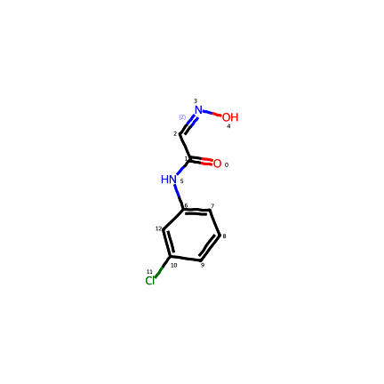 O=C(/C=N\O)Nc1cccc(Cl)c1